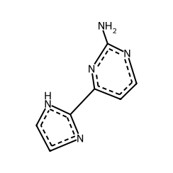 Nc1nccc(-c2ncc[nH]2)n1